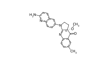 CO[C@@]12CCN(c3ccc4nc(N)ccc4c3)C1=Nc1ccc(C)cc1C2=O